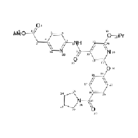 COC(=O)Cc1ccc(NC(=O)c2cc(Oc3ccc(C(=O)N4CCCC4)cc3)nc(OC(C)C)c2)nc1